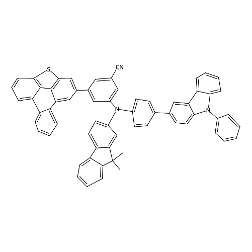 CC1(C)c2ccccc2-c2ccc(N(c3ccc(-c4ccc5c(c4)c4ccccc4n5-c4ccccc4)cc3)c3cc(C#N)cc(-c4cc5sc6cccc7c8ccccc8c(c4)c5c67)c3)cc21